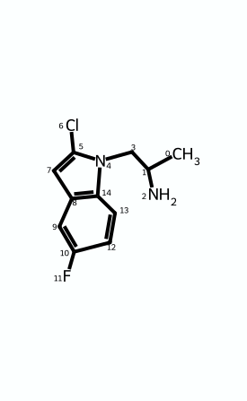 CC(N)Cn1c(Cl)cc2cc(F)ccc21